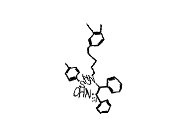 Cc1ccc(S(=O)(=O)N[C@@H](c2ccccc2)C(NCCCCc2ccc(C)c(C)c2)c2ccccc2)cc1